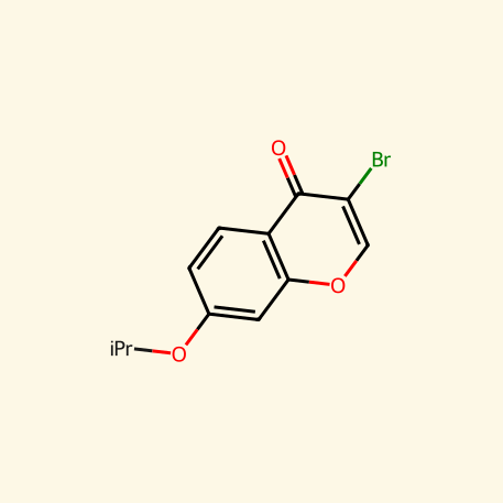 CC(C)Oc1ccc2c(=O)c(Br)coc2c1